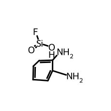 Nc1ccccc1N.O=[Si](O)F